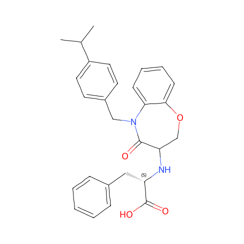 CC(C)c1ccc(CN2C(=O)C(N[C@@H](Cc3ccccc3)C(=O)O)COc3ccccc32)cc1